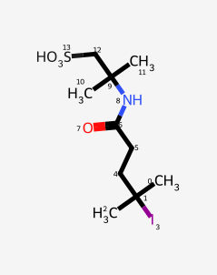 CC(C)(I)CCC(=O)NC(C)(C)CS(=O)(=O)O